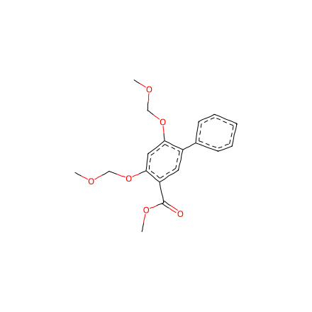 COCOc1cc(OCOC)c(-c2ccccc2)cc1C(=O)OC